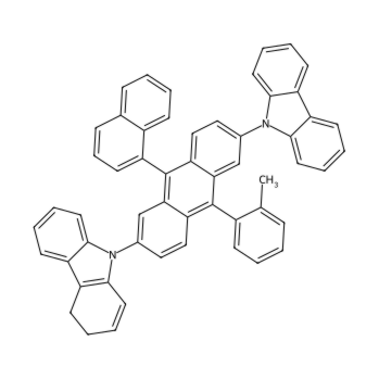 Cc1ccccc1-c1c2cc(-n3c4ccccc4c4ccccc43)ccc2c(-c2cccc3ccccc23)c2cc(-n3c4c(c5ccccc53)CCC=C4)ccc12